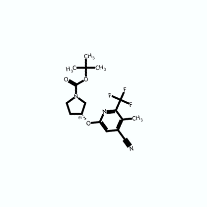 Cc1c(C#N)cc(O[C@@H]2CCN(C(=O)OC(C)(C)C)C2)nc1C(F)(F)F